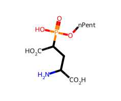 CCCCCOP(=O)(O)C(CC(N)C(=O)O)C(=O)O